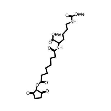 COC(=O)NCCCCC(NC(=O)CCCCCCC(=O)OC1C(=O)CCC1=O)C(=O)OC